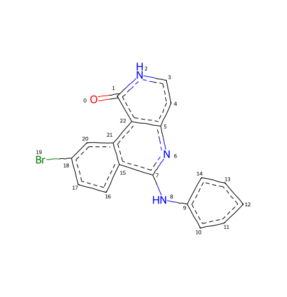 O=c1[nH]ccc2nc(Nc3ccccc3)c3ccc(Br)cc3c12